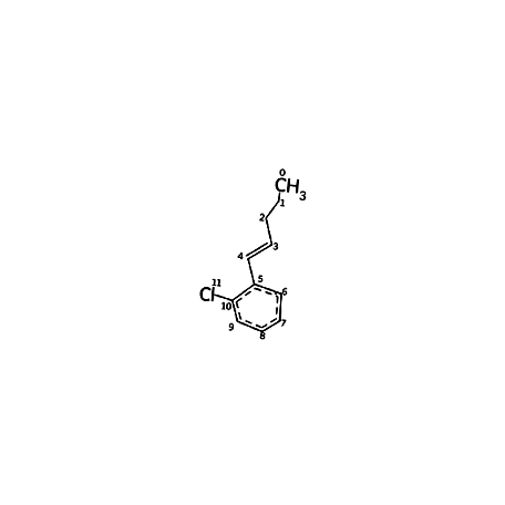 CCC/C=C/c1[c]cccc1Cl